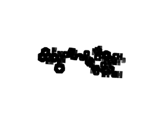 CCc1cccc2cccc(-c3ncc4c(N5CCCCCC5)nc(OC[C@@]56CCCN5C(COC(=O)N5CCN(c7cc([C@H](C(=O)N8C[C@H](O)C[C@H]8C(=O)N[C@@H](C)c8ccc(-c9scnc9C)cc8)C(C)C)on7)CC5)CC6)nc4c3F)c12